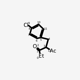 CCC(=O)C(Cc1ccc(Cl)cc1)C(C)=O